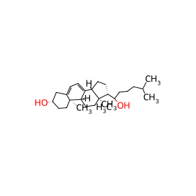 CC(C)CCC[C@@](C)(O)[C@H]1CC[C@H]2C3=CC=C4C[C@@H](O)CC[C@]4(C)[C@H]3CC[C@@]21C